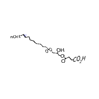 CCCCCCCC/C=C/CCCCCCCC(=O)OCC(O)COC(=O)CCC(=O)O